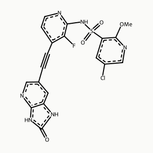 COc1ncc(Cl)cc1S(=O)(=O)Nc1nccc(C#Cc2cnc3[nH]c(=O)[nH]c3c2)c1F